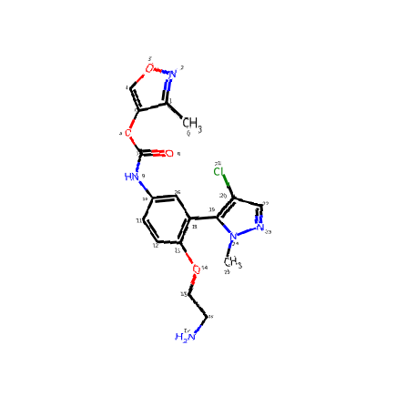 Cc1nocc1OC(=O)Nc1ccc(OCCN)c(-c2c(Cl)cnn2C)c1